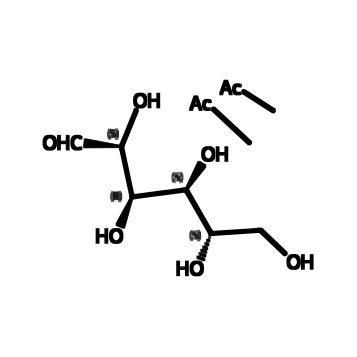 CC(C)=O.CC(C)=O.O=C[C@@H](O)[C@H](O)[C@@H](O)[C@@H](O)CO